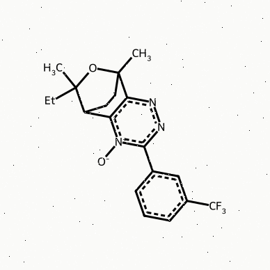 CCC1(C)OC2(C)CCC1c1c2nnc(-c2cccc(C(F)(F)F)c2)[n+]1[O-]